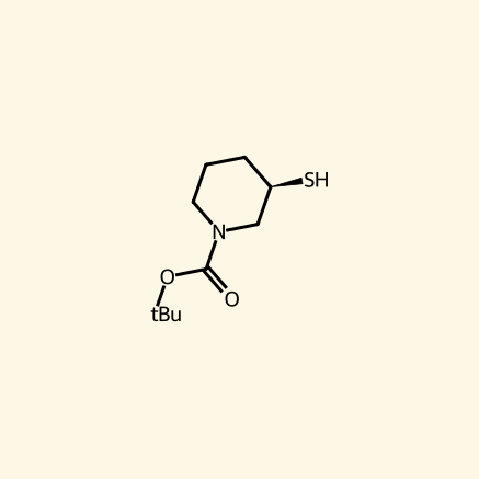 CC(C)(C)OC(=O)N1CCC[C@@H](S)C1